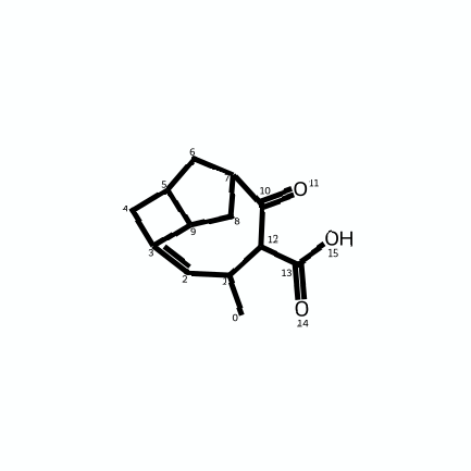 CC1/C=C2/CC3CC(CC23)C(=O)C1C(=O)O